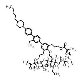 C=C(C)C(=O)OCCCc1cc(-c2ccc(-c3ccc(C4CCC(CCCCC)CC4)cc3)c(CC)c2)cc(CCCOC(=O)C(=C)C)c1OCCC(CCCC)(C(C)(C)O[SiH2]C(C)(C)C)C(C)(C)O[SiH2]C(C)(C)C